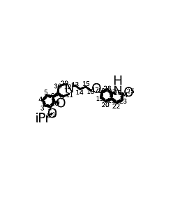 CC(C)Oc1cccc2c3c(oc12)CN(CCCCOc1ccc2ccc(=O)[nH]c2c1)CC3